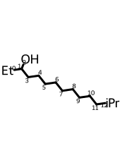 CCC(O)CCCCCCCCCC(C)C